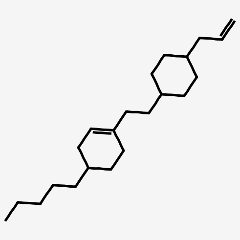 C=CCC1CCC(CCC2=CCC(CCCCC)CC2)CC1